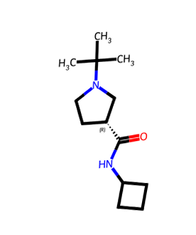 CC(C)(C)N1CC[C@@H](C(=O)NC2CCC2)C1